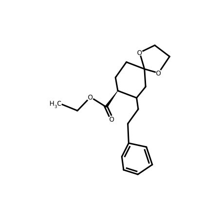 CCOC(=O)[C@H]1CCC2(CC1CCc1ccccc1)OCCO2